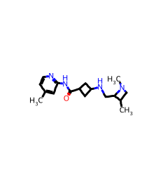 Cc1ccnc(NC(=O)C2CC(NCC3C(C)CN3C)C2)c1